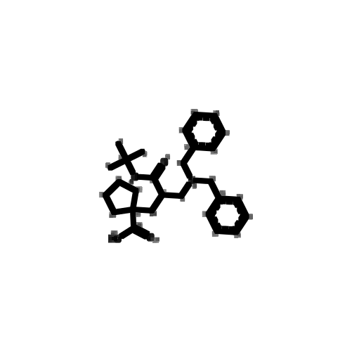 CC(C)(C)OC(=O)C(CN(Cc1ccccc1)Cc1ccccc1)CC1(C(=O)O)CCCC1